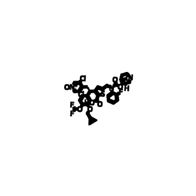 O=C(O)c1sc(CN(C(=O)O[C@H]2CN3CCC2CC3)c2ccccc2F)cc1[C@@H](Cc1c(Cl)c[n+]([O-])cc1Cl)c1ccc(OC(F)F)c(OCC2CC2)c1